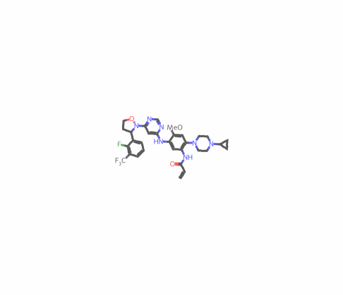 C=CC(=O)Nc1cc(Nc2cc(N3OCCC3c3cccc(C(F)(F)F)c3F)ncn2)c(OC)cc1N1CCN(C2CC2)CC1